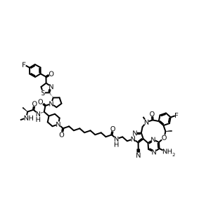 CN[C@@H](C)C(=O)N[C@H](C(=O)N1CCC[C@H]1C1=NC(C(=O)c2ccc(F)cc2)CS1)C1CCN(C(=O)CCCCCCCCC(=O)NCCn2nc3c(c2C#N)-c2cnc(N)c(n2)O[C@H](C)c2cc(F)ccc2C(=O)N(C)C3)CC1